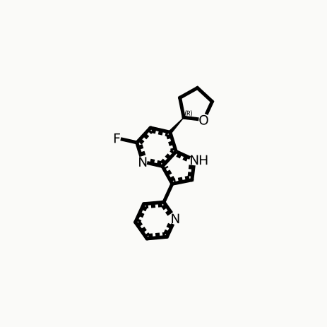 Fc1cc([C@H]2CCCO2)c2[nH]cc(-c3ccccn3)c2n1